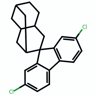 Clc1ccc2c(c1)C1(CC3CCC4CC3CC1C4)c1cc(Cl)ccc1-2